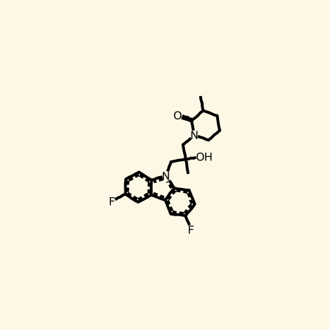 CC1CCCN(CC(C)(O)Cn2c3ccc(F)cc3c3cc(F)ccc32)C1=O